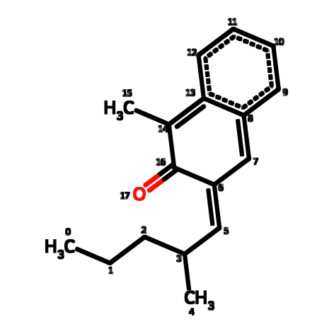 CCCC(C)C=C1C=c2ccccc2=C(C)C1=O